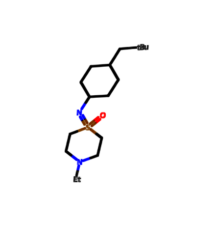 CCN1CCS(=O)(=NC2CCC(CC(C)(C)C)CC2)CC1